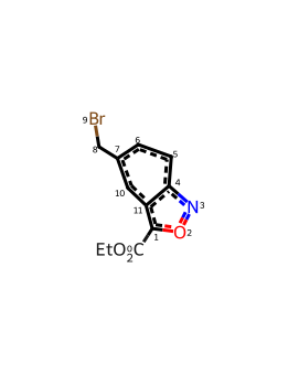 CCOC(=O)c1onc2ccc(CBr)cc12